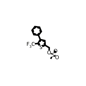 CS(=O)(=O)OCc1cc(-c2ccccc2)c(C(F)(F)F)s1